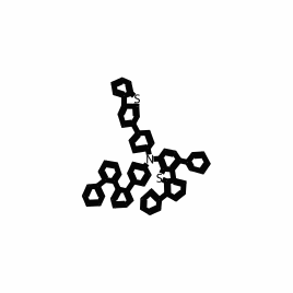 c1ccc(-c2ccccc2-c2ccccc2-c2ccc(N(c3ccc(-c4ccc5c(c4)sc4ccccc45)cc3)c3ccc(-c4ccccc4)c4c3sc3c(-c5ccccc5)cccc34)cc2)cc1